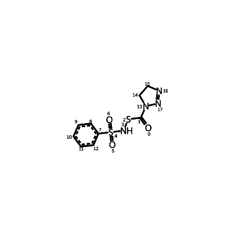 O=C(SNS(=O)(=O)c1ccccc1)N1CCN=N1